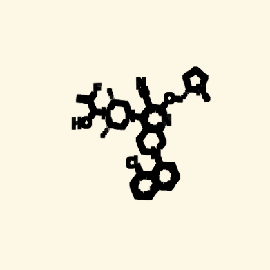 C=C(F)C(O)N1[C@H](C)CN(c2c(C#N)c(OC[C@@H]3CCCN3C)nc3c2CCN(c2cccc4cccc(Cl)c24)C3)C[C@@H]1C